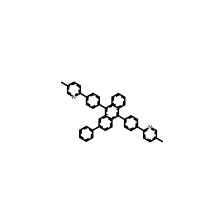 Cc1ccc(-c2ccc(-c3c4ccccc4c(-c4ccc(-c5ccc(C)cn5)cc4)c4cc(-c5ccccc5)ccc34)cc2)nc1